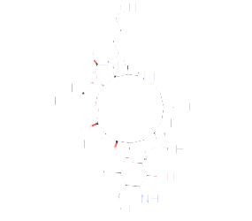 CCCCCN1C(=O)O[C@]2(C)[C@@H](CC)OC(=O)[C@H](C)C(=O)[C@H](C)[C@@H](O[C@@H]3OC(C)[C@H](CC)C(N)C3O)[C@](C)(OC)C[C@@H](C)CCN[C@H](C)[C@@H]12